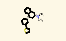 CN(C)[C@@H]1Cc2ccccc2[C@@H](c2cccc(-c3cccs3)c2)C1